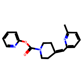 Cc1cccc(C=C2CCN(C(=O)Oc3ccccn3)CC2)n1